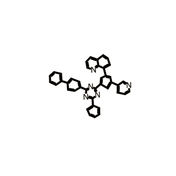 c1ccc(-c2ccc(-c3nc(-c4ccccc4)nc(-c4cc(-c5cccnc5)cc(-c5cccc6cccnc56)c4)n3)cc2)cc1